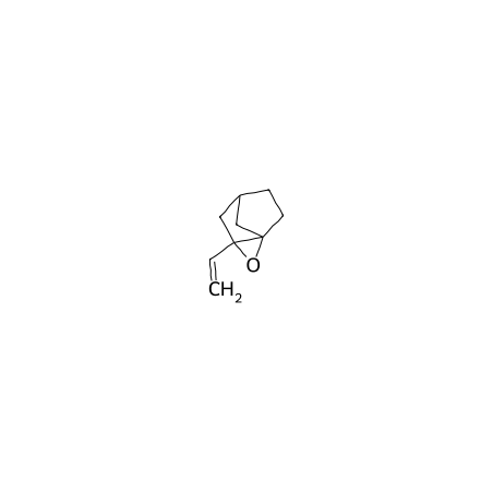 C=CC12CC3CCC1(C3)O2